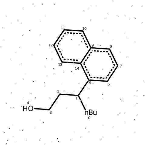 CCCCC(CCO)c1cccc2ccccc12